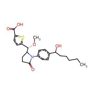 CCCCCC(O)c1ccc(N2C(=O)CCC2[C@@H](OC)c2ccc(C(=O)O)s2)cc1